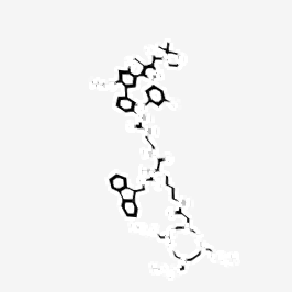 COc1cc2c(cc1-c1cccc(NC(=O)NCCNC(=O)[C@@H](CCCCNC(=O)CN3CCN(CC(=O)O)CCN(CC(=O)O)CCN(CC(=O)O)CC3)NC(=O)OCC3c4ccccc4-c4ccccc43)c1)-c1c(c(C(=O)N3CCOCC3(C)C)nn1-c1cc(Cl)cc(Cl)c1)CO2